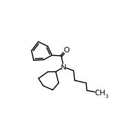 CCCCCN(C(=O)c1ccccc1)C1CCCCC1